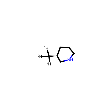 [2H]C([2H])([2H])[C@H]1C[CH]CNC1